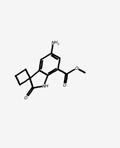 COC(=O)c1cc(N)cc2c1NC(=O)C21CCC1